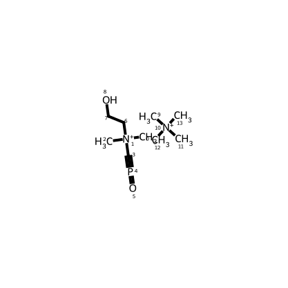 C[N+](C)(C#P=O)CCO.C[N+](C)(C)C